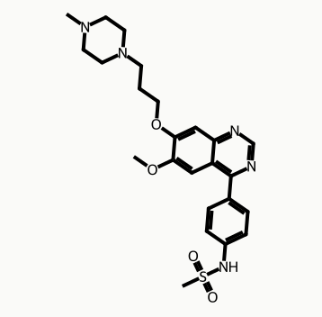 COc1cc2c(-c3ccc(NS(C)(=O)=O)cc3)ncnc2cc1OCCCN1CCN(C)CC1